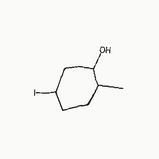 CC1CCC(I)CC1O